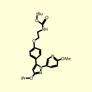 COc1ccc(-n2nc(OC(C)C)cc2-c2ccc(OCCNC(=O)OC(C)(C)C)cc2)cn1